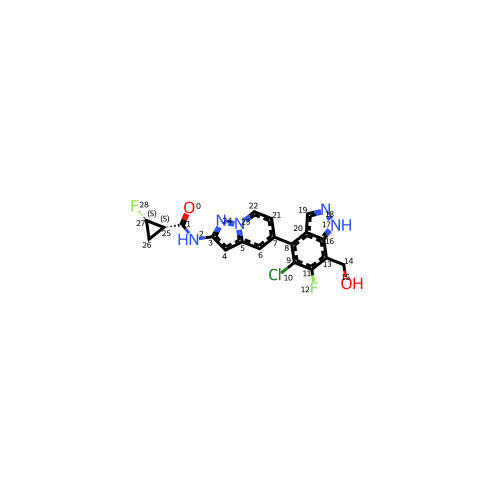 O=C(Nc1cc2cc(-c3c(Cl)c(F)c(CO)c4[nH]ncc34)ccn2n1)[C@@H]1C[C@@H]1F